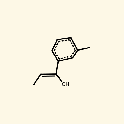 CC=C(O)c1cccc(C)c1